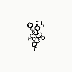 Cc1ccc2c3oc(=O)c(Sc4cccc(F)c4)c(O)c3c(=O)n(Cc3ccccc3)c2c1